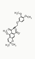 COc1ccc(OCC#CC(=O)c2c([N+](=O)[O-])cc3c(c2OC)C=CC(C)(C)O3)cc1OC